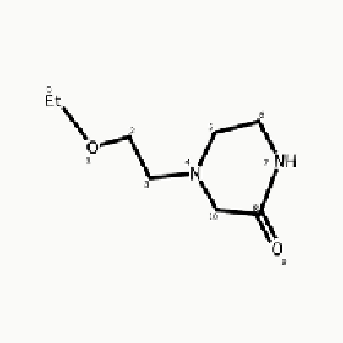 CCOCCN1CCNC(=O)C1